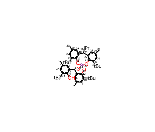 Cc1cc(Cc2cc(C)cc(C(C)(C)C)c2OP2(=O)Oc3c(cc(C)cc3C(C)(C)C)C(C(C)C)c3cc(C)cc(C(C)(C)C)c3O2)c(O)c(C(C)(C)C)c1